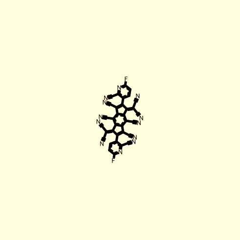 N#CC(C#N)=C1C(c2ccc(F)nc2C#N)=C(C#N)c2c(C#N)c3c(c(C#N)c21)C(C#N)=C(c1ccc(F)nc1C#N)C3=C(C#N)C#N